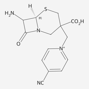 N#Cc1cc[n+](CC2(C(=O)O)CS[C@@H]3C(N)C(=O)N3C2)cc1